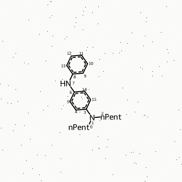 CCCCCN(CCCCC)c1ccc(Nc2ccccc2)cc1